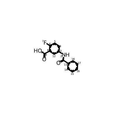 O=C(Nc1ccc(F)c(C(=O)O)c1)c1ccccc1